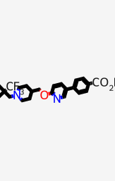 O=C(O)c1ccc(-c2ccc(OCC3CCN(CC4(C(F)(F)F)CCC4)CC3)nc2)cc1